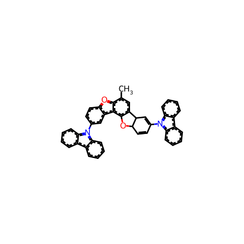 Cc1cc2c(c3c1oc1ccc(-n4c5ccccc5c5ccccc54)cc13)OC1C=CC(n3c4ccccc4c4ccccc43)=CC21